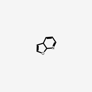 [C]1=COC2N=CC=CC12